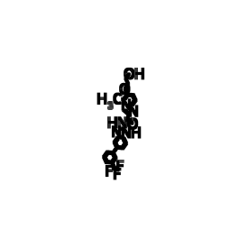 Cc1c(OCCO)ccc2nc(C(=O)Nc3nc4cc(-c5cccc(C(F)(F)F)c5)ccc4[nH]3)cn12